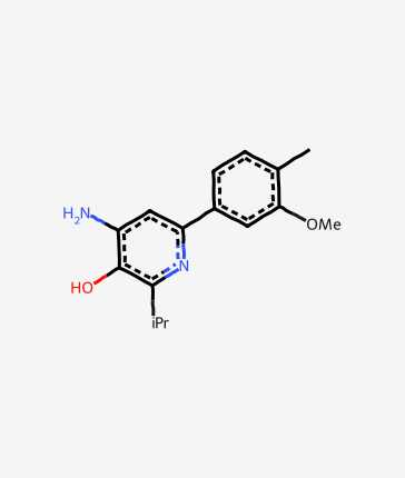 COc1cc(-c2cc(N)c(O)c(C(C)C)n2)ccc1C